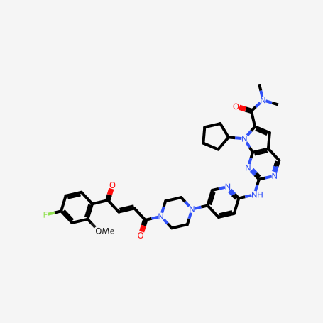 COc1cc(F)ccc1C(=O)/C=C/C(=O)N1CCN(c2ccc(Nc3ncc4cc(C(=O)N(C)C)n(C5CCCC5)c4n3)nc2)CC1